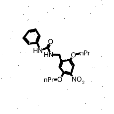 CCCOc1cc([N+](=O)[O-])c(OCCC)cc1CNC(=O)Nc1ccccc1